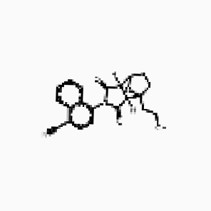 N#Cc1ccc(N2C(=O)[C@@H]3C4CCC(CCO)(O4)[C@@H]3C2=O)c2ccccc12